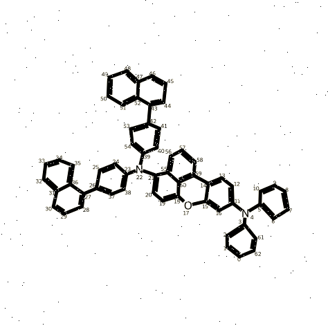 c1ccc(N(c2ccccc2)c2ccc3c(c2)Oc2ccc(N(c4ccc(-c5cccc6ccccc56)cc4)c4ccc(-c5cccc6ccccc56)cc4)c4cccc-3c24)cc1